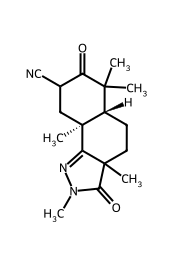 CN1N=C2C(C)(CC[C@H]3C(C)(C)C(=O)C(C#N)C[C@]23C)C1=O